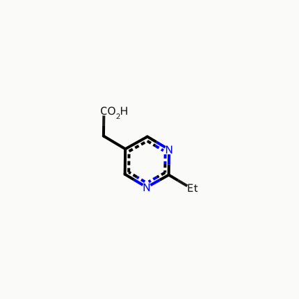 CCc1ncc(CC(=O)O)cn1